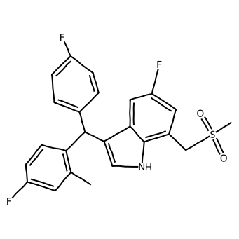 Cc1cc(F)ccc1C(c1ccc(F)cc1)c1c[nH]c2c(CS(C)(=O)=O)cc(F)cc12